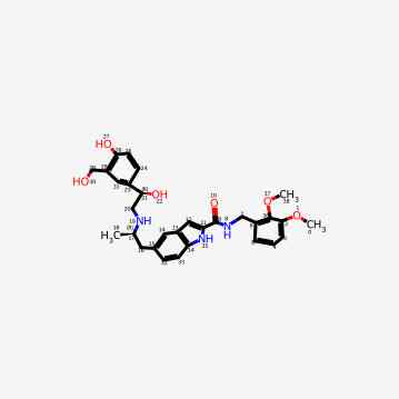 COc1cccc(CNC(=O)c2cc3cc(C[C@@H](C)NC[C@H](O)c4ccc(O)c(CO)c4)ccc3[nH]2)c1OC